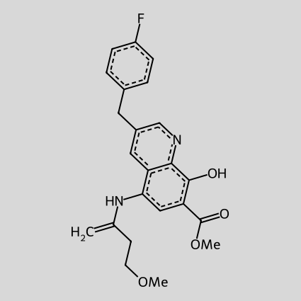 C=C(CCOC)Nc1cc(C(=O)OC)c(O)c2ncc(Cc3ccc(F)cc3)cc12